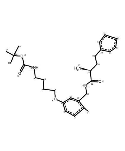 Cc1ccc(OCCCCNC(=O)OC(C)(C)C)cc1CNC(=O)[C@@H](N)CCc1ccccc1